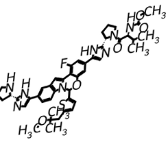 COC(=O)N[C@H](C(=O)N1CCC[C@H]1c1ncc(-c2cc(F)c3c(c2)OC(c2ccc(CC(C)(C)OC)s2)n2c-3cc3cc(-c4cnc([C@@H]5CCCN5)[nH]4)ccc32)[nH]1)C(C)C